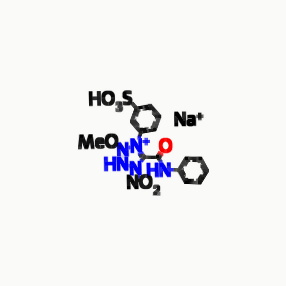 CON1NN([N+](=O)[O-])C(C(=O)Nc2ccccc2)=[N+]1c1cccc(S(=O)(=O)O)c1.[Na+]